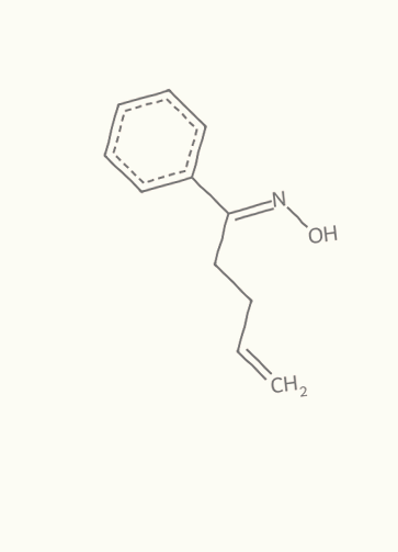 C=CCCC(=NO)c1ccccc1